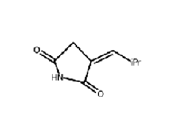 CC(C)C=C1CC(=O)NC1=O